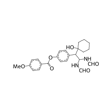 COc1ccc(C(=O)Oc2ccc(C(C(NC=O)NC=O)C3(O)CCCCC3)cc2)cc1